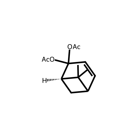 CC(=O)OC1(OC(C)=O)C=CC2C[C@@H]1C2(C)C